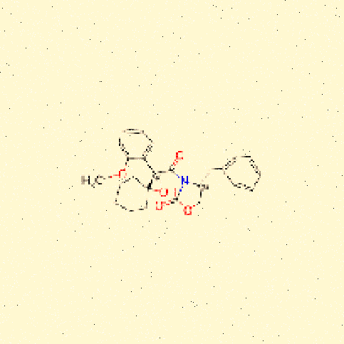 COc1ccccc1[C@@H](C(=O)N1C(=O)OC[C@H]1Cc1ccccc1)C1(O)CCCCC1